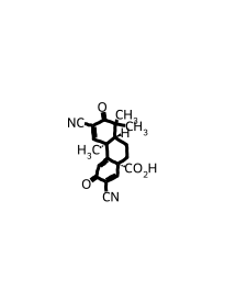 CC1(C)C(=O)C(C#N)=C[C@]2(C)C3=CC(=O)C(C#N)=C[C@]3(C(=O)O)CC[C@@H]12